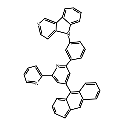 c1ccc(-c2cc(-c3c4ccccc4cc4ccccc34)cc(-c3cccc(-n4c5ccccc5c5cnccc54)c3)n2)nc1